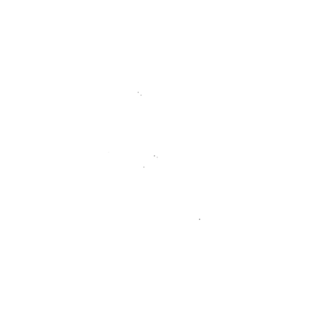 CC(=O)c1nn(COCC[Si](C)(C)C)c2ccc([N+](=O)[O-])cc12